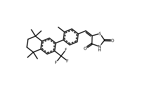 Cc1cc(C=C2SC(=O)NC2=O)ccc1-c1cc2c(cc1C(F)(F)F)C(C)(C)CCC2(C)C